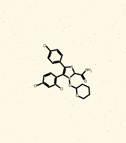 NC(=O)C1SC(c2ccc(Cl)cc2)=C(c2ccc(Cl)cc2Cl)N1OC1CCCCO1